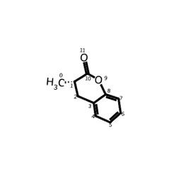 C[C@H]1Cc2ccccc2OC1=O